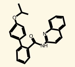 CC(C)Oc1ccc(-c2ccccc2C(=O)Nc2ccc3ccccc3n2)cc1